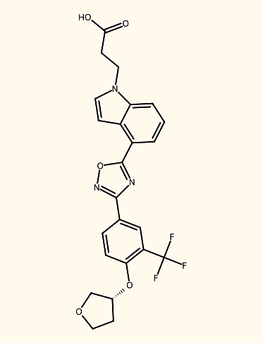 O=C(O)CCn1ccc2c(-c3nc(-c4ccc(O[C@@H]5CCOC5)c(C(F)(F)F)c4)no3)cccc21